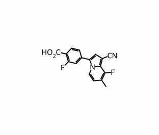 Cc1ccn2c(-c3ccc(C(=O)O)c(F)c3)cc(C#N)c2c1F